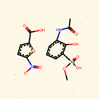 CO[As](=O)(O)c1cccc(NC(C)=O)c1O.O=C(O)c1ccc([N+](=O)[O-])s1